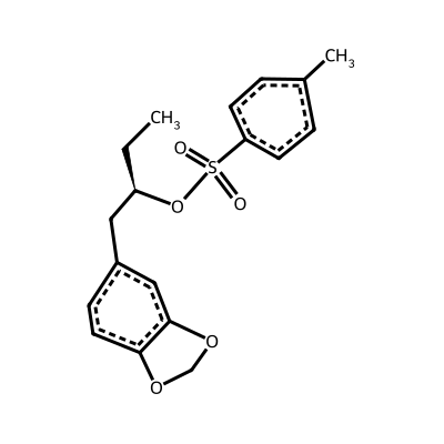 CC[C@H](Cc1ccc2c(c1)OCO2)OS(=O)(=O)c1ccc(C)cc1